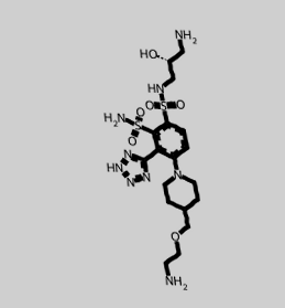 NCCOCC1CCN(c2ccc(S(=O)(=O)NC[C@H](O)CN)c(S(N)(=O)=O)c2-c2nn[nH]n2)CC1